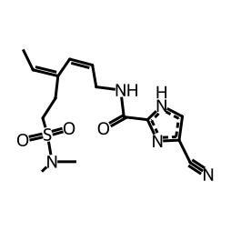 C/C=C(\C=C/CNC(=O)c1nc(C#N)c[nH]1)CCS(=O)(=O)N(C)C